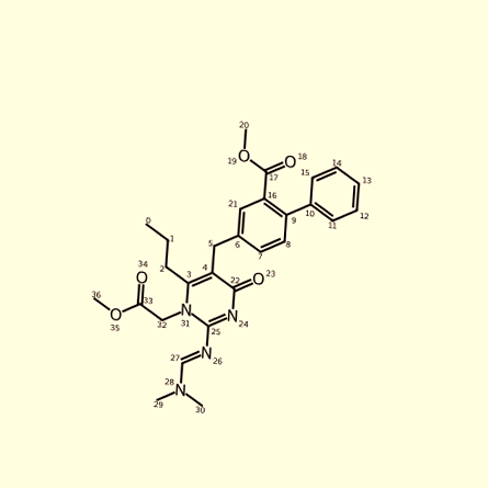 CCCc1c(Cc2ccc(-c3ccccc3)c(C(=O)OC)c2)c(=O)nc(N=CN(C)C)n1CC(=O)OC